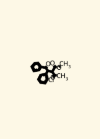 COC(=O)C(C(C)=O)C(C(=O)c1ccccc1)c1ccccc1Cl